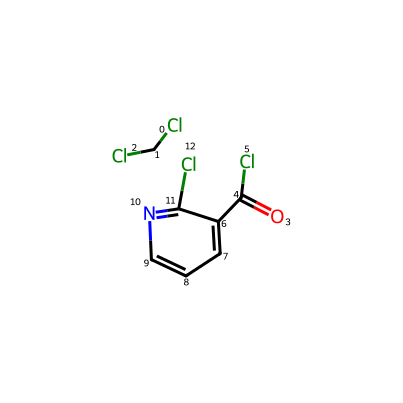 ClCCl.O=C(Cl)c1cccnc1Cl